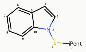 [CH2]C(CCC)Sn1ccc2ccccc21